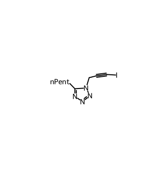 CCCCCc1nnnn1CC#CI